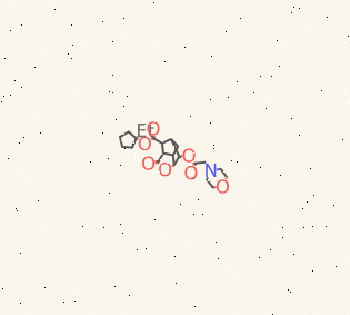 CCC1(OC(=O)C2C3CC4C(OC(=O)C42)C3OC(=O)CN2CCOCC2)CCCC1